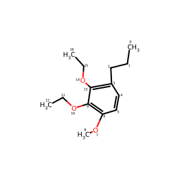 CCCc1ccc(OC)c(OCC)c1OCC